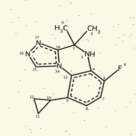 CC1(C)Nc2c(F)ccc(C3CC3)c2-n2cnnc21